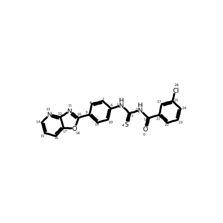 O=C(NC(=S)Nc1ccc(-c2nc3ncccc3o2)cc1)c1cccc(Cl)c1